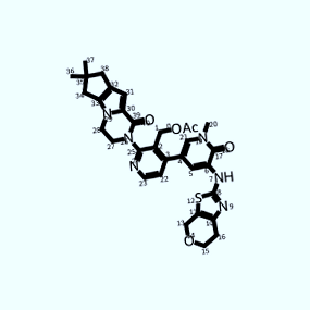 CC(=O)OCc1c(-c2cc(Nc3nc4c(s3)COCC4)c(=O)n(C)c2)ccnc1N1CCn2c(cc3c2CC(C)(C)C3)C1=O